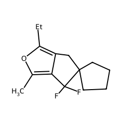 CCc1oc(C)c2c1CC1(CCCC1)C2(F)F